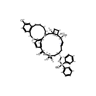 CC(C)(C)[Si](OC[C@H]1C/C=C/[C@H](O)[C@@H]2CC[C@H]2CN2CCCCc3cc(Cl)ccc3COc3ccc(cc32)C(=O)NS(=O)(=O)C1)(c1ccccc1)c1ccccc1